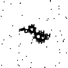 C=COc1cncc(C2=C[C@H]3NCC[C@H]3CC2)c1